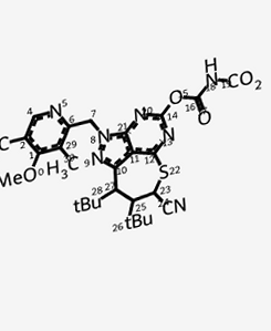 COc1c(C)cnc(Cn2nc3c4c(nc(OC(=O)NC(=O)O)nc42)SC(C#N)C(C(C)(C)C)C3C(C)(C)C)c1C